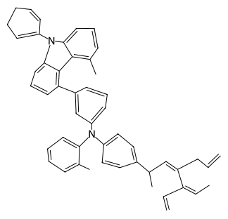 C=CCC(=C/C(C)c1ccc(N(c2cccc(-c3cccc4c3c3c(C)cccc3n4C3=CCCC=C3)c2)c2ccccc2C)cc1)/C(C=C)=C\C